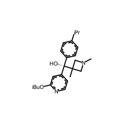 CC(C)COc1cc([C@@](O)(c2ccc(C(C)C)cc2)C2(C)CN(C)C2)ccn1